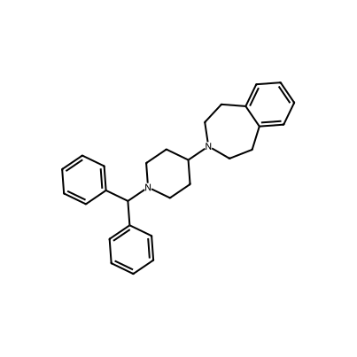 c1ccc(C(c2ccccc2)N2CCC(N3CCc4ccccc4CC3)CC2)cc1